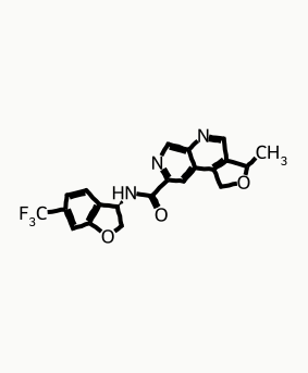 CC1OCc2c1cnc1cnc(C(=O)N[C@@H]3COc4cc(C(F)(F)F)ccc43)cc21